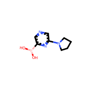 OB(O)c1cncc(N2CCCC2)n1